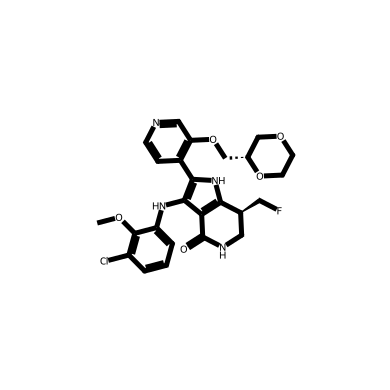 COc1c(Cl)cccc1Nc1c(-c2ccncc2OC[C@@H]2COCCO2)[nH]c2c1C(=O)NC[C@@H]2CF